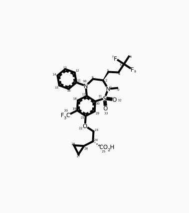 CN1[C@H](CCC(C)(F)F)CN(c2ccccc2)c2cc(C(F)(F)F)c(OC[C@H](C(=O)O)C3CC3)cc2S1(=O)=O